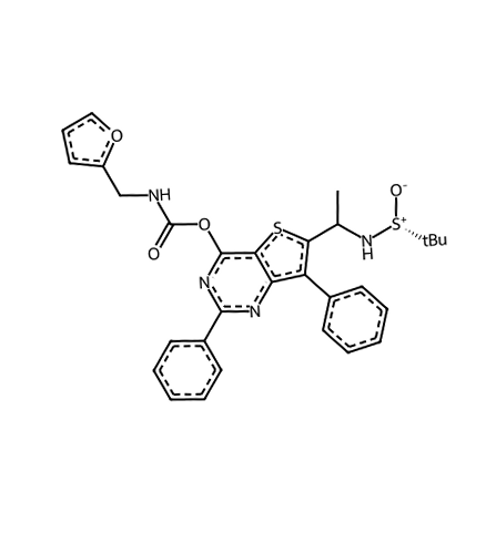 CC(N[S@+]([O-])C(C)(C)C)c1sc2c(OC(=O)NCc3ccco3)nc(-c3ccccc3)nc2c1-c1ccccc1